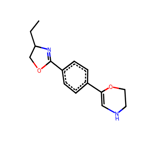 CCC1COC(c2ccc(C3=CNCCO3)cc2)=N1